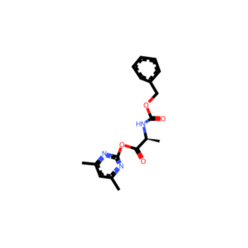 Cc1cc(C)nc(OC(=O)[C@H](C)NC(=O)OCc2ccccc2)n1